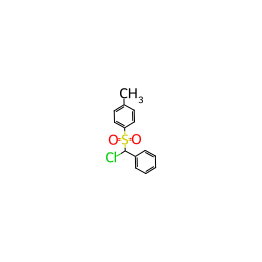 Cc1ccc(S(=O)(=O)C(Cl)c2ccccc2)cc1